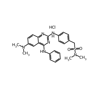 CN(C)c1ccc2nc(Nc3ccc(CS(=O)(=O)N(C)C)cc3)nc(Nc3ccccc3)c2c1.Cl